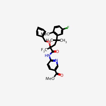 COC(=O)c1ccc(NC(=O)C(CC(C)(C)c2cc(F)ccc2OC)(OCc2ccccc2)C(F)(F)F)nc1